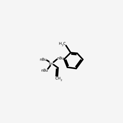 C=[CH][Sn]([CH2]CCC)([CH2]CCC)[CH2]CCC.Cc1ccccc1